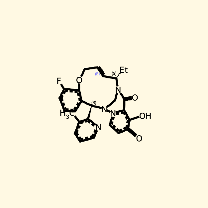 CC[C@H]1/C=C/COc2c(F)cccc2[C@H](c2ncccc2C)N2CN1C(=O)c1c(O)c(=O)ccn12